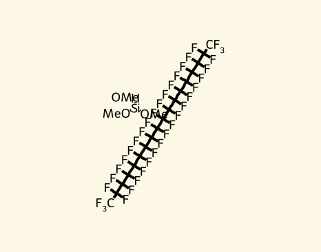 CO[SiH](OC)OC.FC(F)(F)C(F)(F)C(F)(F)C(F)(F)C(F)(F)C(F)(F)C(F)(F)C(F)(F)C(F)(F)C(F)(F)C(F)(F)C(F)(F)C(F)(F)C(F)(F)C(F)(F)C(F)(F)C(F)(F)C(F)(F)F